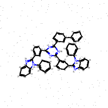 c1ccc(-c2cccc(-c3nc(-c4cccc(-c5nc6ccccc6n5-c5ccccc5)c4)nc(-c4cccc(-c5nc6ccccc6n5-c5ccccc5)c4)n3)c2)cc1